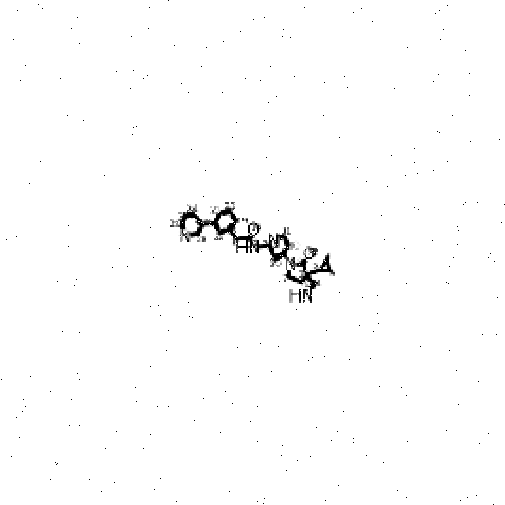 N=CC1(C2CC2)CCN(c2ccnc(NC(=O)Cc3cccc(-c4cccnc4)c3)c2)C1=O